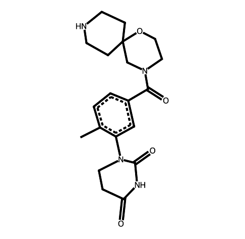 Cc1ccc(C(=O)N2CCOC3(CCNCC3)C2)cc1N1CCC(=O)NC1=O